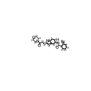 O=C(Nc1ccc2nc(SCC(=O)N3CCOCC3)sc2c1)c1ccccc1Br